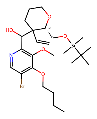 C=CC1(C(O)c2ncc(Br)c(OCCCC)c2OC)CCCO[C@@H]1CO[Si](C)(C)C(C)(C)C